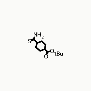 CC(C)(C)OC(=O)C1CCC(C(N)=S)CC1